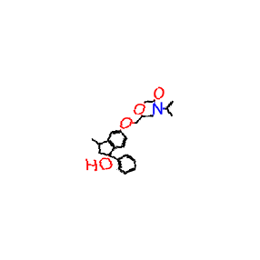 CC1CC(O)(c2ccccc2)c2ccc(OCC3CN(C(C)C)C(=O)CO3)cc21